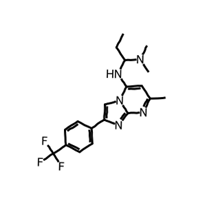 CCC(Nc1cc(C)nc2nc(-c3ccc(C(F)(F)F)cc3)cn12)N(C)C